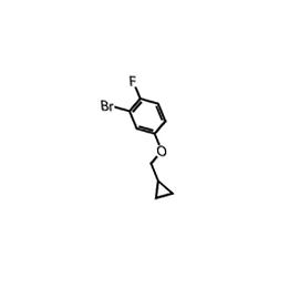 Fc1ccc(OCC2CC2)cc1Br